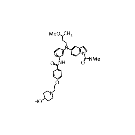 CNC(=O)n1ccc2cc(N(CCC(C)OC)c3ccnc(NC(=O)c4ccc(OCCN5CCC(O)CC5)cc4)c3)ccc21